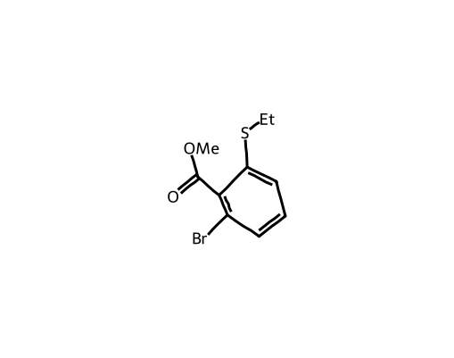 CCSc1cccc(Br)c1C(=O)OC